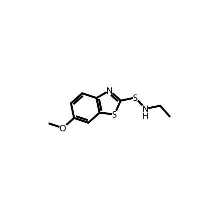 CCNSc1nc2ccc(OC)cc2s1